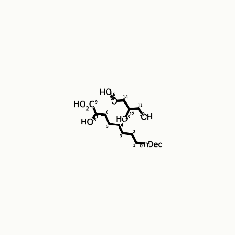 CCCCCCCCCCCCCCCCC(O)C(=O)O.OCC(O)COO